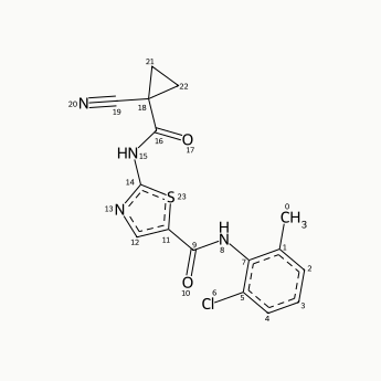 Cc1cccc(Cl)c1NC(=O)c1cnc(NC(=O)C2(C#N)CC2)s1